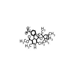 CNCC(OC(=O)C1=C(C)NC(C)=C(C(=O)OC)C1c1cccc([N+](=O)[O-])c1)(C(C)C)C(C)C